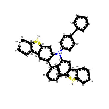 c1ccc(-c2ccc(N(c3ccc4sc5ccccc5c4c3)c3cc4sc5ccccc5c4cc3-c3ccccc3)cc2)cc1